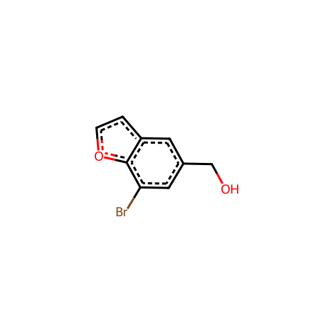 OCc1cc(Br)c2occc2c1